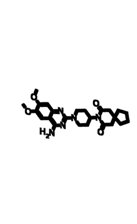 COc1cc2nc(N3CCC(N4C(=O)CC5(CCCC5)CC4=O)CC3)nc(N)c2cc1OC